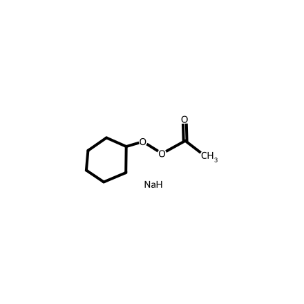 CC(=O)OOC1CCCCC1.[NaH]